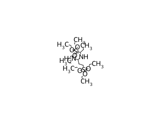 CCO[Si](CCC(N)NC(CC)[Si](OCC)(OCC)OCC)(OCC)OCC